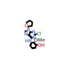 COc1c(O)cccc1Nc1nc(Cl)nc2c1ncn2C1CCCCO1